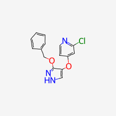 Clc1cc(Oc2c[nH]nc2OCc2ccccc2)ccn1